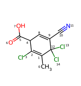 CC1=C(Cl)C(C(=O)O)C=C(C#N)C1(Cl)Cl